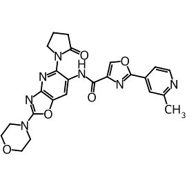 Cc1cc(-c2nc(C(=O)Nc3cc4oc(N5CCOCC5)nc4nc3N3CCCC3=O)co2)ccn1